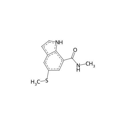 CNC(=O)c1cc(SC)cc2cc[nH]c12